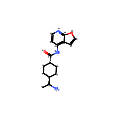 CC(N)[C@H]1CC[C@H](C(=O)Nc2ccnc3occc23)CC1